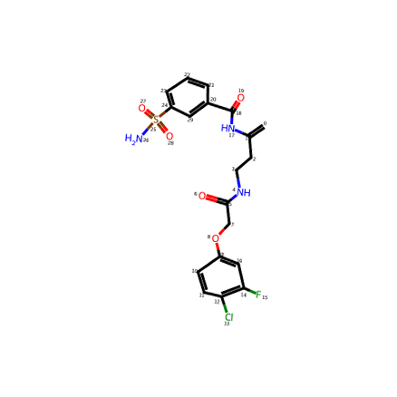 C=C(CCNC(=O)COc1ccc(Cl)c(F)c1)NC(=O)c1cccc(S(N)(=O)=O)c1